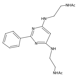 CC(=O)NCCNc1cc(NCCNC(C)=O)nc(-c2ccccc2)n1